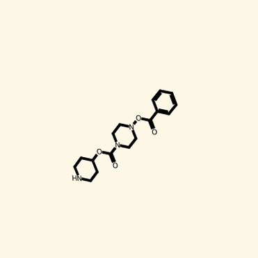 O=C(ON1CCN(C(=O)OC2CCNCC2)CC1)c1ccccc1